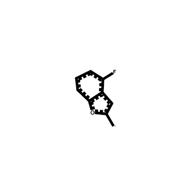 [CH2]c1cc2c(F)cccc2o1